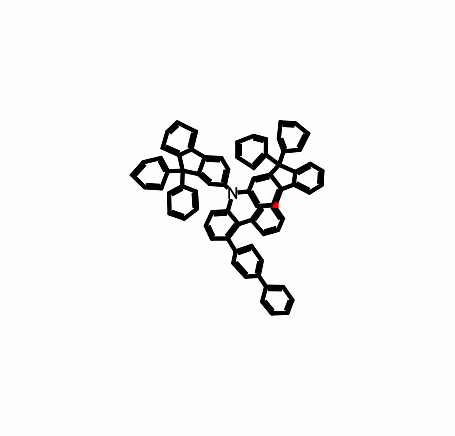 c1ccc(-c2ccc(-c3cccc(N(c4ccc5c(c4)C(c4ccccc4)(c4ccccc4)c4ccccc4-5)c4ccc5c(c4)C(c4ccccc4)(c4ccccc4)c4ccccc4-5)c3-c3ccccc3)cc2)cc1